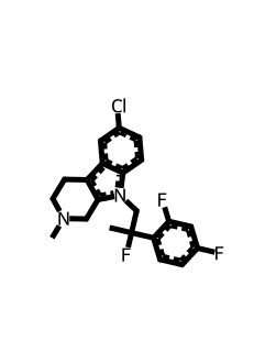 CN1CCc2c(n(CC(C)(F)c3ccc(F)cc3F)c3ccc(Cl)cc23)C1